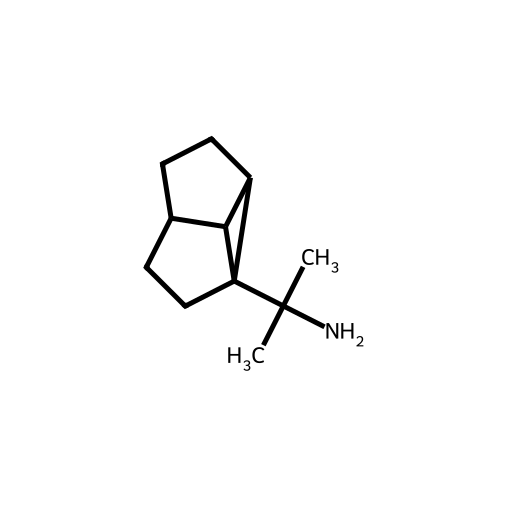 CC(C)(N)C12CCC3CCC1C32